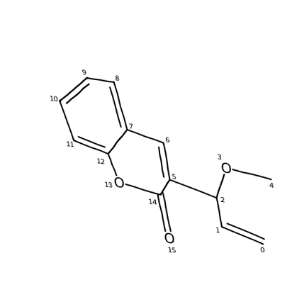 C=CC(OC)c1cc2ccccc2oc1=O